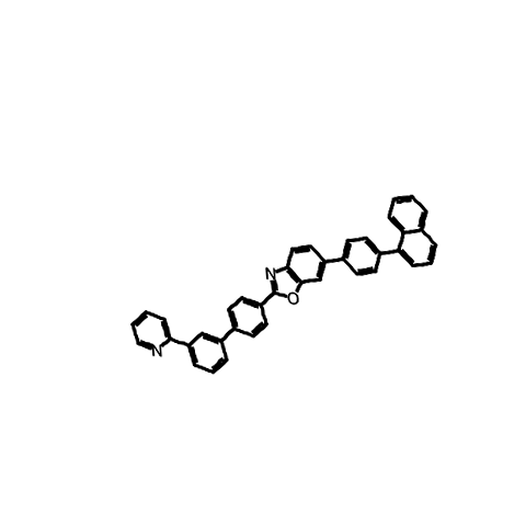 c1ccc(-c2cccc(-c3ccc(-c4nc5ccc(-c6ccc(-c7cccc8ccccc78)cc6)cc5o4)cc3)c2)nc1